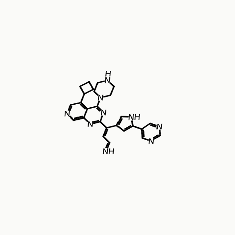 N=C/C=C(\c1c[nH]c(-c2cncnc2)c1)c1nc(N2CCNCC2)c2c(C3CCC3)cncc2n1